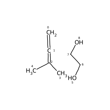 C=C=C(C)C.OCCO